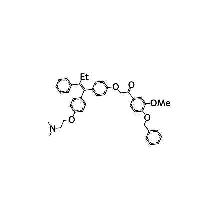 CC/C(=C(/c1ccc(OCCN(C)C)cc1)c1ccc(OCC(=O)c2ccc(OCc3ccccc3)c(OC)c2)cc1)c1ccccc1